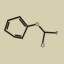 FC(Cl)Oc1[c]cccc1